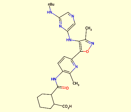 CCCCNc1cncc(Nc2c(C)noc2-c2ccc(NC(=O)C3CCCCC3C(=O)O)c(C)n2)n1